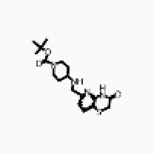 CC(C)(C)OC(=O)N1CCC(NCc2ccc3c(n2)NC(=O)CS3)CC1